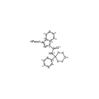 CCCCCn1nc(C(=O)NC2(c3ccccc3)CCOCC2)c2ccccc21